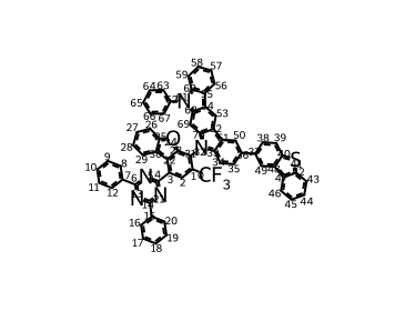 FC(F)(F)c1cc(-c2nc(-c3ccccc3)nc(-c3ccccc3)n2)c2c(oc3ccccc32)c1-n1c2ccc(-c3ccc4sc5ccccc5c4c3)cc2c2cc3c4ccccc4n(-c4ccccc4)c3cc21